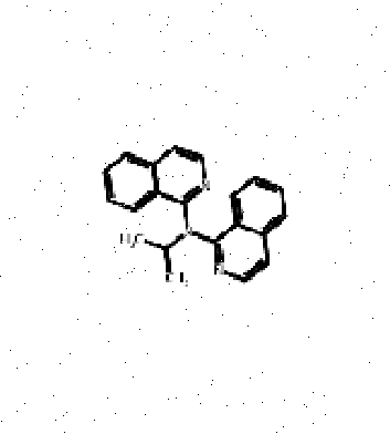 CC(C)N(c1nccc2ccccc12)c1nccc2ccccc12